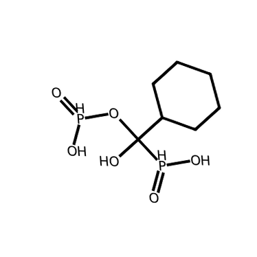 O=[PH](O)OC(O)(C1CCCCC1)[PH](=O)O